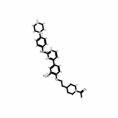 CC(=O)N1CCC(CCOc2ccc(-c3ccnc(Nc4ccc(N5CCOCC5)cc4)n3)cc2N)CC1